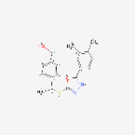 Cc1ccc(-c2nnc(SC(C)c3ccc(CO)cc3)o2)cc1C